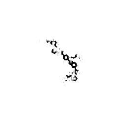 COC(=O)NC(C(=O)N1CCC[C@H]1c1ncc(-c2cc(F)c3c(c2)OC(c2cnc(OC)s2)n2c-3cc3cc(-c4cnc([C@@H]5CCCN5C(=O)[C@@H](NC(=O)OC)C(C)C)[nH]4)ccc32)[nH]1)C(C)C